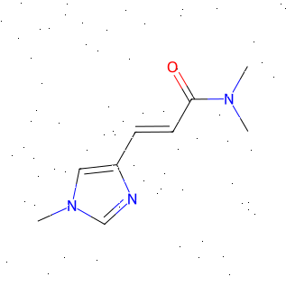 CN(C)C(=O)C=Cc1cn(C)cn1